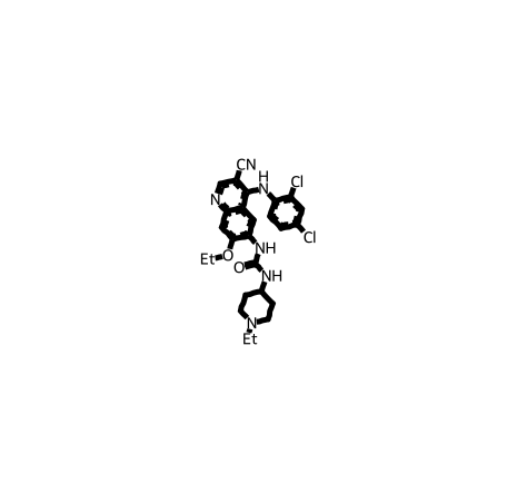 CCOc1cc2ncc(C#N)c(Nc3ccc(Cl)cc3Cl)c2cc1NC(=O)NC1CCN(CC)CC1